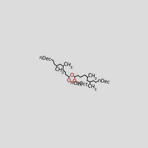 CCCCCCCCCCCCC(C)CC(C)CCCC(OCCCCCCCC)OC(CCCC(C)CC(C)CCCCCCCCCCCC)OCCCCCCCC